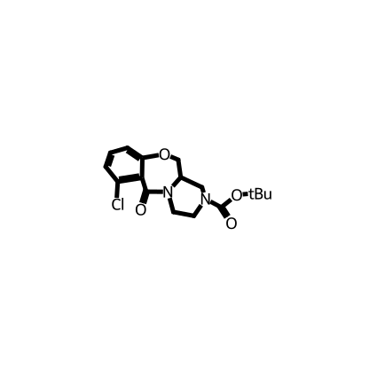 CC(C)(C)OC(=O)N1CCN2C(=O)c3c(Cl)cccc3OCC2C1